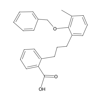 Cc1cccc(CCCc2ccccc2C(=O)O)c1OCc1ccccc1